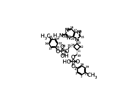 Cc1ccc(OP(=O)(O)OC[C@H]2C[C@@H](n3cnc4cnc(N)nc43)[C@H]2COP(=O)(O)Oc2ccc(C)cc2)cc1